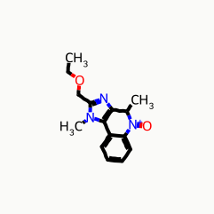 CCOCc1nc2c(n1C)-c1ccccc1[N+](=O)C2C